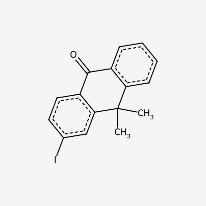 CC1(C)c2ccccc2C(=O)c2ccc(I)cc21